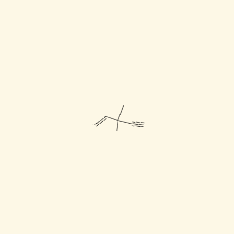 [CH]=CC(C)(C)C#C